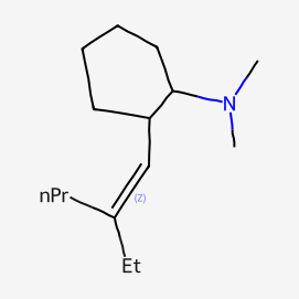 CCC/C(=C\C1CCCCC1N(C)C)CC